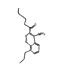 CCCCC(=O)c1nnc2c(CCC)cccc2c1N